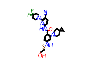 N#Cc1ccc(NC(=O)c2ccc(NSCCO)cc2N2CCC3(CC2)CC3)nc1N1CCC(F)(F)CC1